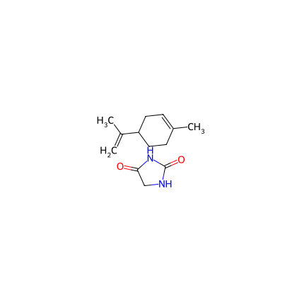 C=C(C)C1CC=C(C)CC1.O=C1CNC(=O)N1